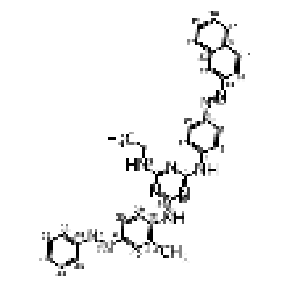 CCNc1nc(Nc2ccc(N=Nc3ccc4ccccc4c3)cc2)nc(Nc2ccc(N=Nc3ccccc3)cc2C)n1